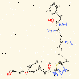 N/C(=C\C=C(/N)NC(O)Cc1ccccc1)CCCCc1nnc(NC(=O)Cc2cccc(OCCCO)c2)s1